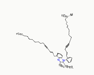 CCCCCCCCCCCCCCCCCCC#CCCCc1ccccc1N=C(CCCC)C(CCCCC)=Nc1ccccc1CCCC#CCCCCCCCCCCCCCCCCCC.[Ni]